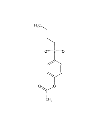 CCCCS(=O)(=O)c1ccc(OC(C)=O)cc1